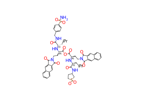 CC(C)C[C@H](N[C@H](CCN1C(=O)c2cc3ccccc3cc2C1=O)C(=O)OC(=O)[C@@H](CCN1C(=O)c2cc3ccccc3cc2C1=O)N[C@@H](CC(C)C)C(=O)NC1CCS(=O)(=O)C1)C(=O)NCc1ccc(S(N)(=O)=O)cc1